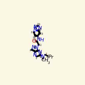 CC(C)CN(C)c1cnc2cnn(CC(=O)Nc3ccn4ncnc4c3)c2n1